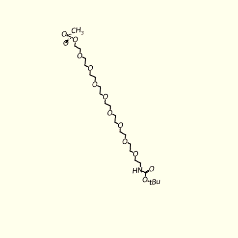 CC(C)(C)OC(=O)NCCOCCOCCOCCOCCOCCOCCOCCOCCOS(C)(=O)=O